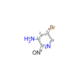 Nc1cc(Br)cnc1N=O